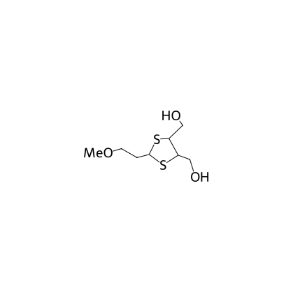 COCCC1SC(CO)C(CO)S1